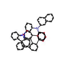 c1ccc(-c2ccccc2-c2c(-c3ccccc3)cccc2-c2cccc(N(c3cccc(-n4c5ccccc5c5ccccc54)c3)c3ccc4ccccc4c3)c2)cc1